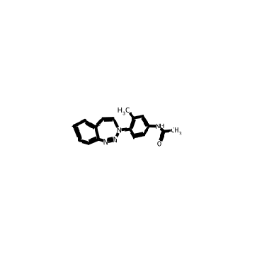 CC(=O)Nc1ccc(N2C=Cc3ccccc3N=N2)c(C)c1